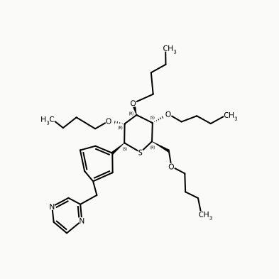 CCCCOC[C@H]1S[C@@H](c2cccc(Cc3cnccn3)c2)[C@H](OCCCC)[C@@H](OCCCC)[C@@H]1OCCCC